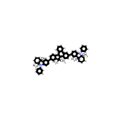 CC1(C)c2cc(-c3ccc4c(c3)C3(C)CCCCC3(C)N4c3ccccc3)ccc2-c2c1c1ccc(-c3ccc4c(c3)C3(C)CCCCC3(C)N4c3ccccc3)cc1c1ccccc21